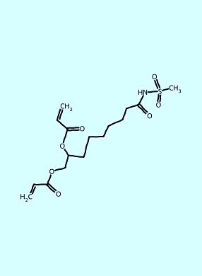 C=CC(=O)OCC(CCCCCCC(=O)NS(C)(=O)=O)OC(=O)C=C